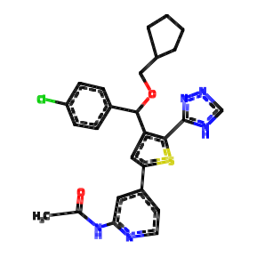 CC(=O)Nc1cc(-c2cc(C(OCC3CCCC3)c3ccc(Cl)cc3)c(-c3nnc[nH]3)s2)ccn1